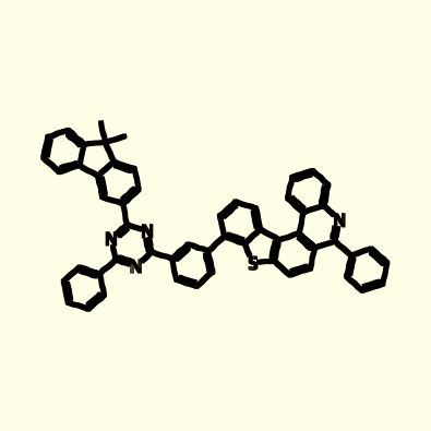 CC1(C)c2ccccc2-c2cc(-c3nc(-c4ccccc4)nc(-c4cccc(-c5cccc6c5sc5ccc7c(-c8ccccc8)nc8ccccc8c7c56)c4)n3)ccc21